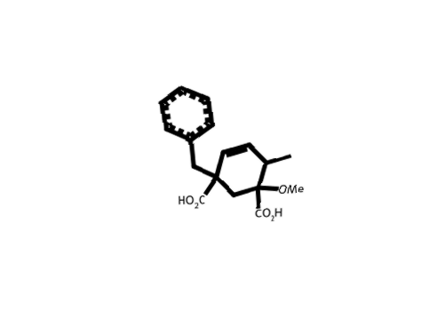 COC1(C(=O)O)CC(Cc2ccccc2)(C(=O)O)C=CC1C